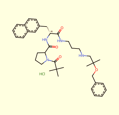 CC(C)(CNCCCNC(=O)[C@@H](Cc1ccc2ccccc2c1)NC(=O)C1CCCN1C(=O)C(C)(C)C)OCc1ccccc1.Cl